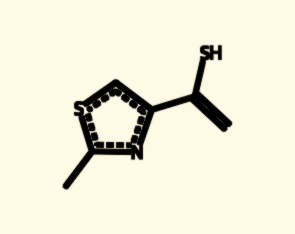 C=C(S)c1csc(C)n1